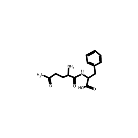 NC(=O)CCC(N)C(=O)NC(Cc1ccccc1)C(=O)O